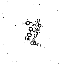 CCN(CC)CCOCc1nnc(Cn2c(SCc3ccc(F)cc3)nc(=O)c3c2CCC3)n1Cc1ccccc1-c1ccc(C(F)(F)F)cc1